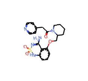 NC1=NS(=O)(=O)Nc2cccc(OCC3CCCCN3C(=O)Cc3ccncc3)c21